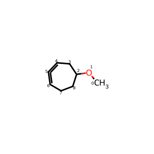 COC1CC=C=CCC1